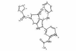 CC(=O)Nc1cc(-c2[nH]c3c(c2Nc2ccccc2)C(=O)CN(C(=O)c2cnsc2)C3)ccn1